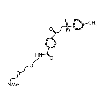 CNCCOCCOCCNC(=O)c1ccc(C(=O)CCS(=O)(=O)c2ccc(C)cc2)cc1